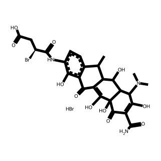 Br.CC1c2ccc(NC(=O)[C@@H](Br)CC(=O)O)c(O)c2C(=O)C2=C(O)C3(O)C(=O)C(C(N)=O)=C(O)C(N(C)C)C3C(O)C21